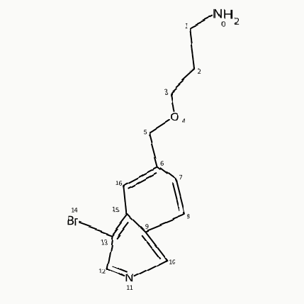 NCCCOCc1ccc2cncc(Br)c2c1